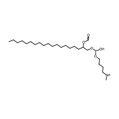 CCCCCCCCCCCCCCCCCC(COP(O)OCCCCNC)OC=O